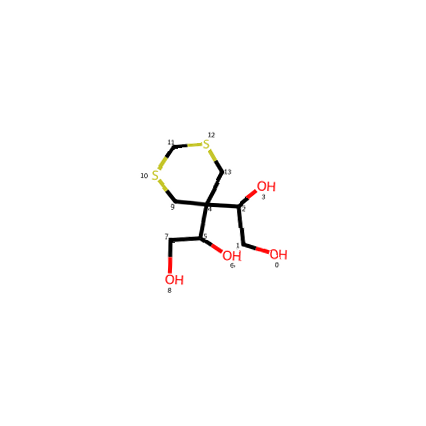 OCC(O)C1(C(O)CO)CSCSC1